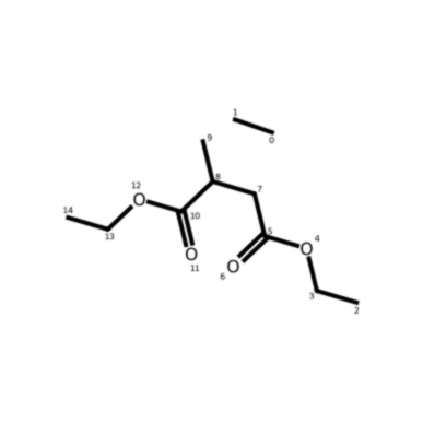 CC.CCOC(=O)CC(C)C(=O)OCC